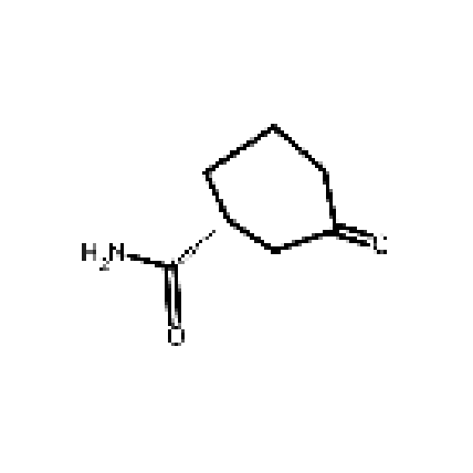 NC(=O)[C@@H]1CCCC(=O)C1